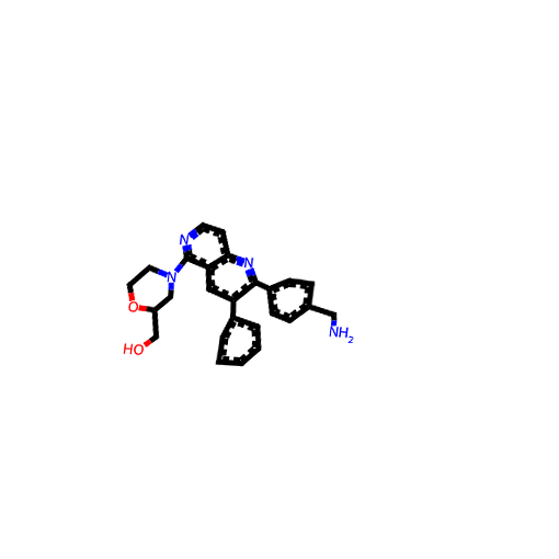 NCc1ccc(-c2nc3ccnc(N4CCOC(CO)C4)c3cc2-c2ccccc2)cc1